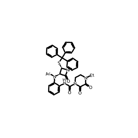 CCN1CCN(C(=O)Nc2ccccc2N(C(C)=O)[C@@H]2C(=O)N[C@@H]2SC(c2ccccc2)(c2ccccc2)c2ccccc2)C(=O)C1=O